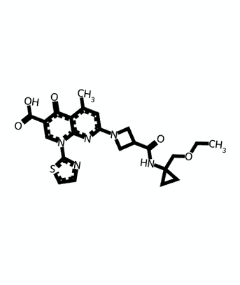 CCOCC1(NC(=O)C2CN(c3cc(C)c4c(=O)c(C(=O)O)cn(-c5nccs5)c4n3)C2)CC1